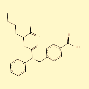 CCCCC(NC(=O)[C@@H](Cc1ccc(C(=N)N)cc1)c1ccccc1)C(=O)O